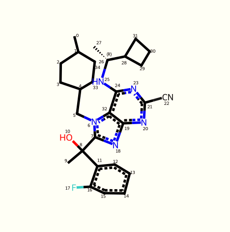 CC1CCC(Cn2c(C(C)(O)c3ccccc3F)nc3nc(C#N)nc(N[C@H](C)C4CCC4)c32)CC1